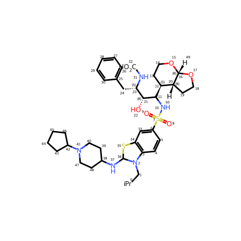 CC(C)CN1c2ccc(S(=O)(=O)NC([C@H]3CCO[C@@H]4OCC[C@@H]43)[C@H](O)[C@H](Cc3ccccc3)NC(=O)O)cc2SC1NC1CCN(C2CCCC2)CC1